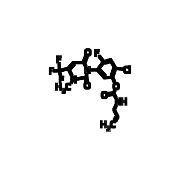 C=CCNC(=O)Oc1cc(-n2c(=O)cc(C(F)(F)F)n(C)c2=O)c(F)cc1Cl